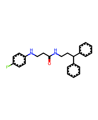 O=C(CCNc1ccc(F)cc1)NCCC(c1ccccc1)c1ccccc1